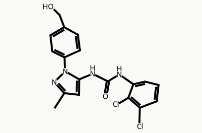 Cc1cc(NC(=O)Nc2cccc(Cl)c2Cl)n(-c2ccc(CO)cc2)n1